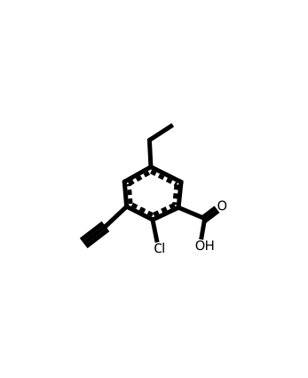 C#Cc1cc(CC)cc(C(=O)O)c1Cl